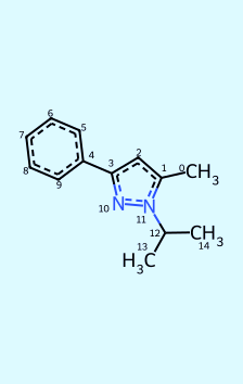 Cc1cc(-c2ccccc2)nn1C(C)C